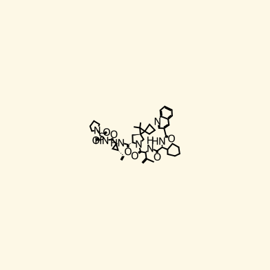 C=C[C@@H]1C[C@]1(NC(=O)[C@@H]1C[C@@]2(CN1C(=O)[C@@H](NC(=O)[C@@H](NC(=O)c1cnc3ccccc3c1)C1CCCCC1)C(=C)C)C(C)(C)C21CCC1)C(=O)NS(=O)(=O)N1CCCC1